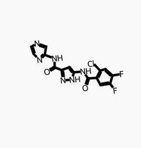 O=C(Nc1cnccn1)c1cc(NC(=O)c2cc(F)c(F)cc2Cl)[nH]n1